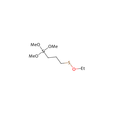 CCOSCCC[Si](OC)(OC)OC